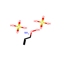 C=CCOO.N.O=S(=O)(O)O.O=S(=O)(O)O